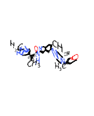 Cc1cc2cnc(NC(=O)[C@@H]3[C@H](C)[C@H]3c3cnn(C)c3)cc2cc1N1CCN([C@]2(C)CCOC2)CC1